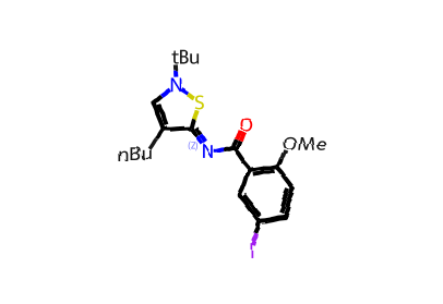 CCCCc1cn(C(C)(C)C)s/c1=N\C(=O)c1cc(I)ccc1OC